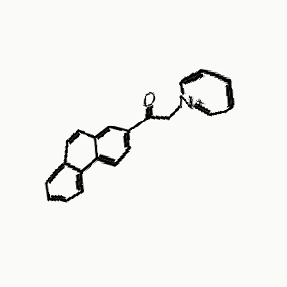 O=C(C[n+]1ccccc1)c1ccc2c(ccc3ccccc32)c1